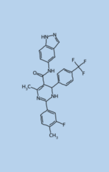 CC1=C(C(=O)Nc2ccc3[nH]ncc3c2)C(c2ccc(C(F)(F)F)cc2)NC(c2ccc(C)c(F)c2)=N1